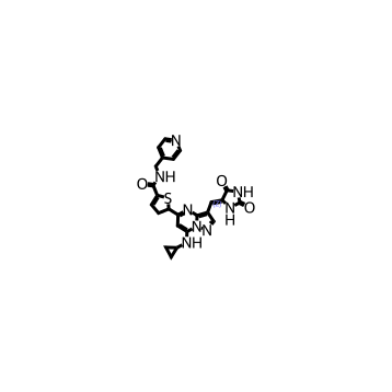 O=C1NC(=O)/C(=C/c2cnn3c(NC4CC4)cc(C4CC=C(C(=O)NCc5ccncc5)S4)nc23)N1